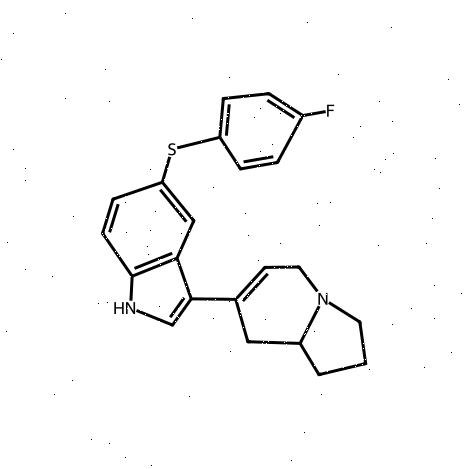 Fc1ccc(Sc2ccc3[nH]cc(C4=CCN5CCCC5C4)c3c2)cc1